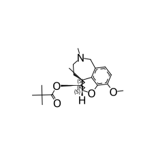 COc1ccc2c3c1O[C@H]1C[C@@H](OC(=O)C(C)(C)C)C(C)[C@@]31CCN(C)C2